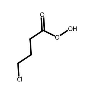 O=C(CCCCl)OO